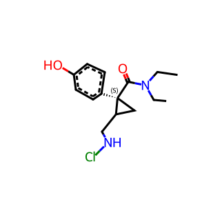 CCN(CC)C(=O)[C@@]1(c2ccc(O)cc2)CC1CNCl